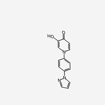 O=c1ccn(-c2ccc(-n3cccn3)cc2)cc1O